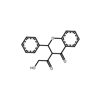 O=C(CO)C1C(=O)c2ccccc2OC1c1ccccc1